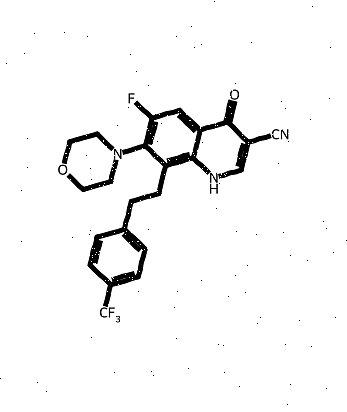 N#Cc1c[nH]c2c(CCc3ccc(C(F)(F)F)cc3)c(N3CCOCC3)c(F)cc2c1=O